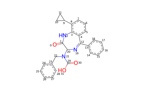 O=C1Nc2c(cccc2C2CC2)C(c2ccccc2)=NC1N(Cc1ccccc1)C(=O)O